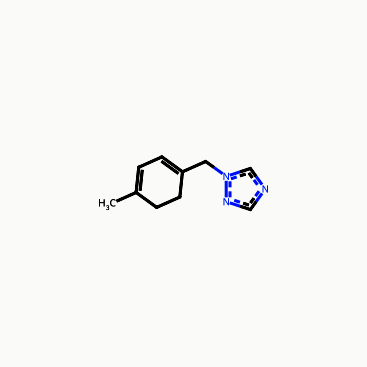 CC1=CC=C(Cn2cncn2)CC1